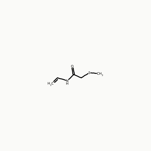 C=CNC(=O)CSC